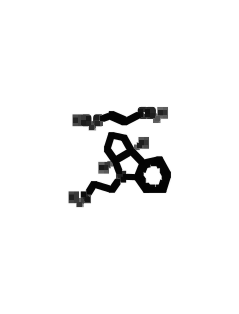 NCCN1c2ccccc2[C@@H]2CCC[C@@H]21.O=C(O)C=CC(=O)O